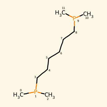 CP(C)CCCCCCP(C)C